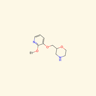 CCOc1ncccc1OCC1CNCCO1